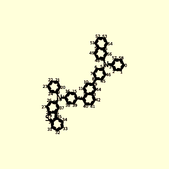 c1ccc(N(c2ccc(-c3ccc4c(-c5ccc(N(c6ccccc6)c6ccc7sc8ccccc8c7c6)cc5)cccc4c3)cc2)c2ccc3ccccc3c2)cc1